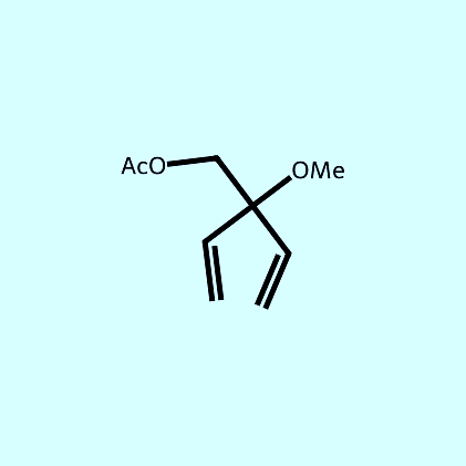 C=CC(C=C)(COC(C)=O)OC